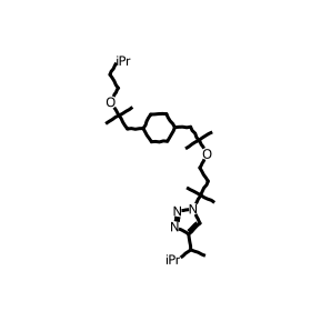 CC(C)CCOC(C)(C)CC1CCC(CC(C)(C)OCCC(C)(C)n2cc(C(C)C(C)C)nn2)CC1